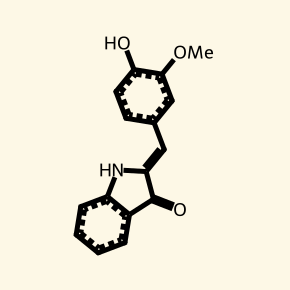 COc1cc(/C=C2\Nc3ccccc3C2=O)ccc1O